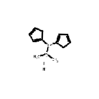 C[SiH](C)[Ti+2]([C]1=CC=CC1)[C]1=CC=CC1.[H-].[H-]